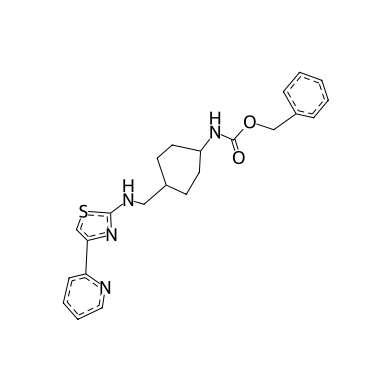 O=C(NC1CCC(CNc2nc(-c3ccccn3)cs2)CC1)OCc1ccccc1